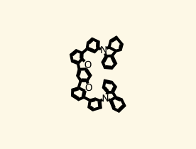 C1=CC2c3ccccc3N(c3cccc(-c4cccc5c4oc4cc6oc7c(-c8cccc(-n9c%10ccccc%10c%10ccccc%109)c8)cccc7c6cc45)c3)C2C=C1